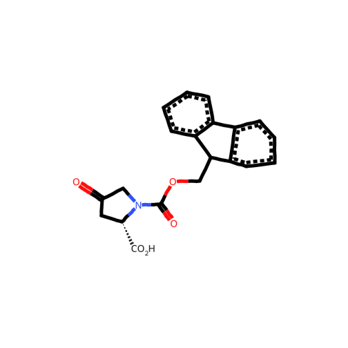 O=C1C[C@@H](C(=O)O)N(C(=O)OCC2c3ccccc3-c3ccccc32)C1